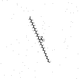 CCCCCCCCCCCCCCCCN(CCCCCCCCCCCCCCCC)C(=O)Cl